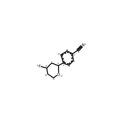 N#Cc1ccc(C2CC(F)CCO2)cc1